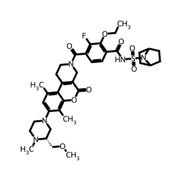 CCOc1c(C(=O)NS(=O)(=O)N2C3CCC2CC3)ccc(C(=O)N2CCc3c(c(=O)oc4c(C)c(N5CCN(C)[C@@H](COC)C5)cc(C)c34)C2)c1F